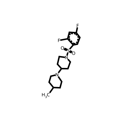 CC1CCN(C2CCN(S(=O)(=O)c3ccc(F)cc3F)CC2)CC1